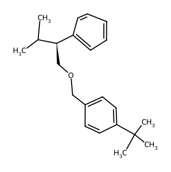 CC(C)[C@H](COCc1ccc(C(C)(C)C)cc1)c1ccccc1